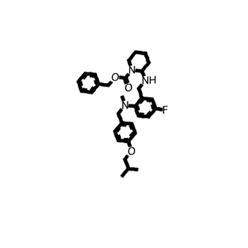 CC(C)COc1ccc(CN(C)c2ccc(F)cc2CNC2CCCCN2C(=O)OCc2ccccc2)cc1